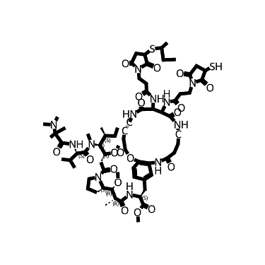 CCC(C)SC1CC(=O)N(CCC(=O)NC2C(=O)NCCCC(=O)Oc3ccc(C[C@H](NC(=O)[C@H](C)[C@@H](OC)[C@@H]4CCCN4C(=O)C[C@@H](OC)[C@H]([C@@H](C)CC)N(C)C(=O)[C@@H](NC(=O)C(C)(C)N(C)C)C(C)C)C(=O)OC)cc3NC(=O)CCCNC(=O)C2NC(=O)CCN2C(=O)CC(S)C2=O)C1=O